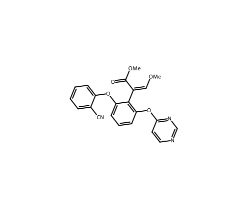 COC=C(C(=O)OC)c1c(Oc2ccncn2)cccc1Oc1ccccc1C#N